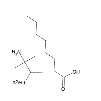 CCCCCC(C)C(C)(C)N.CCCCCCCC(=O)O